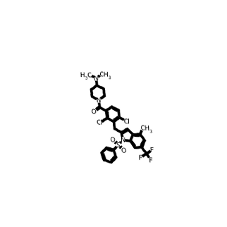 Cc1cc(C(F)(F)F)cc2c1cc(Cc1c(Cl)ccc(C(=O)N3CCC(N(C)C)CC3)c1Cl)n2S(=O)(=O)c1ccccc1